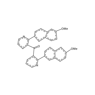 COc1ccc2cc(-c3ncccc3C(=O)c3cccnc3-c3ccc4cc(OC)ccc4c3)ccc2c1